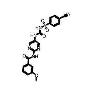 COc1cccc(C(=O)Nc2ncc(NC(=O)NS(=O)(=O)c3ccc(C#N)cc3)cn2)c1